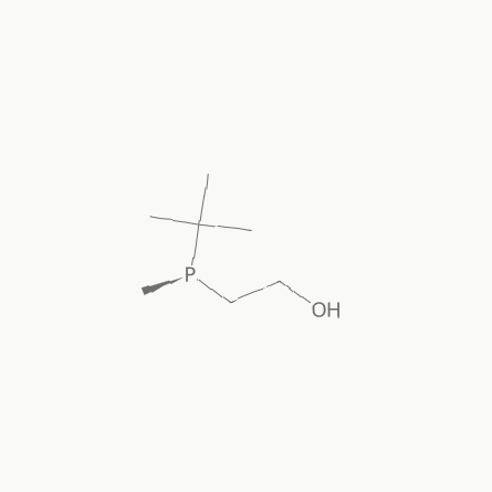 C[P@](CCO)C(C)(C)C